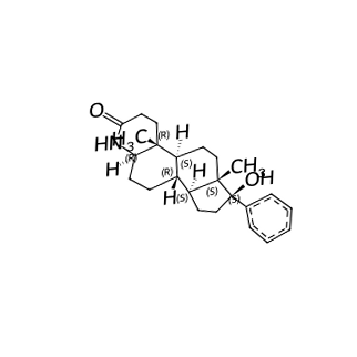 C[C@]12CCC(=O)N[C@@H]1CC[C@@H]1[C@@H]2CC[C@@]2(C)[C@H]1CC[C@@]2(O)c1ccccc1